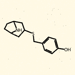 Oc1ccc(CSC2CC3CCC(C2)N3)cc1